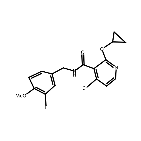 COc1ccc(CNC(=O)c2c(Cl)ccnc2OC2CC2)cc1F